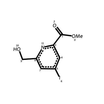 COC(=O)c1cc(I)cc(CO)n1